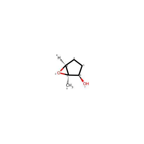 C[C@]12O[C@H]1CC[C@H]2O